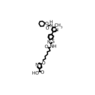 Cc1ncc(-c2ccc3nc(NC(=O)CCCCCCOc4cncc(C(=O)O)c4)sc3c2)cc1NC(=O)OC1CCCCC1